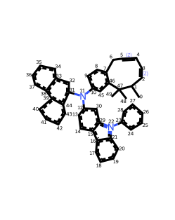 CC1/C=C\C=C/Cc2ccc(N(c3ccc4c5ccccc5n(-c5ccccc5)c4c3)c3cc4ccccc4c4ccccc34)cc2C1(C)C